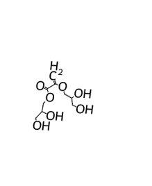 C=C(OCC(O)CO)C(=O)OCC(O)CO